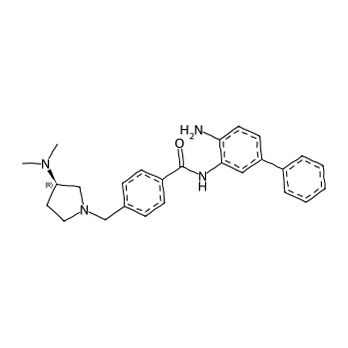 CN(C)[C@@H]1CCN(Cc2ccc(C(=O)Nc3cc(-c4ccccc4)ccc3N)cc2)C1